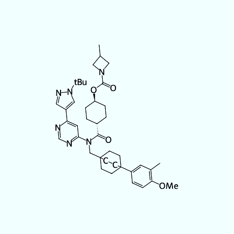 COc1ccc(C23CCC(CN(c4cc(-c5cnn(C(C)(C)C)c5)ncn4)C(=O)[C@H]4CC[C@H](OC(=O)N5CC(C)C5)CC4)(CC2)CC3)cc1C